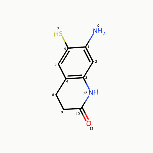 Nc1cc2c(cc1S)CCC(=O)N2